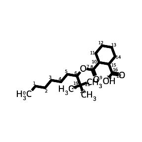 CCCCCCC(OC(=O)C1CCCCC1C(=O)O)C(C)(C)C